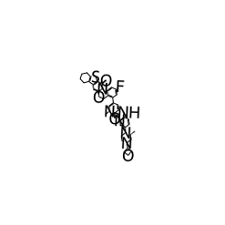 C[C@H]1CN(C2COC2)CCN1c1ccc(Nc2cc(-c3cc(F)cc4c3COc3cc5c6c(sc5c(=O)n3-4)CCCC6)cn(C)c2=O)nc1